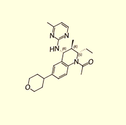 CC[C@H]1[C@H](C)[C@@H](Nc2nccc(C)n2)c2cc(C3CCOCC3)ccc2N1C(C)=O